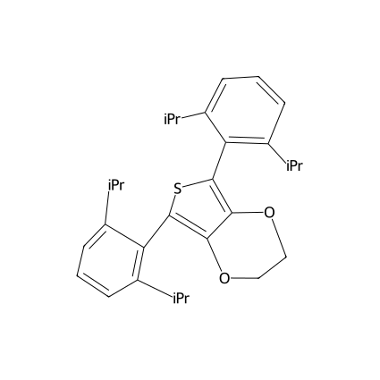 CC(C)c1cccc(C(C)C)c1-c1sc(-c2c(C(C)C)cccc2C(C)C)c2c1OCCO2